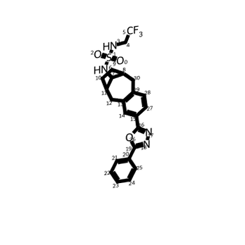 O=S(=O)(NCC(F)(F)F)NC1C2CCC1Cc1cc(-c3nnc(-c4ccccc4)o3)ccc1C2